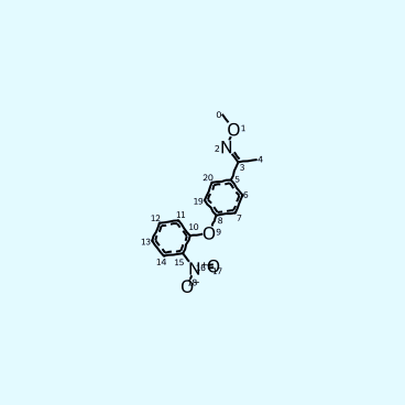 CON=C(C)c1ccc(Oc2ccccc2[N+](=O)[O-])cc1